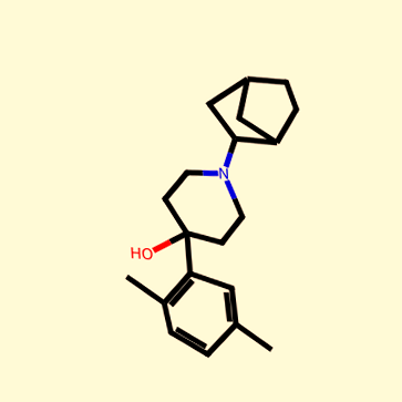 Cc1ccc(C)c(C2(O)CCN(C3CC4CCC3C4)CC2)c1